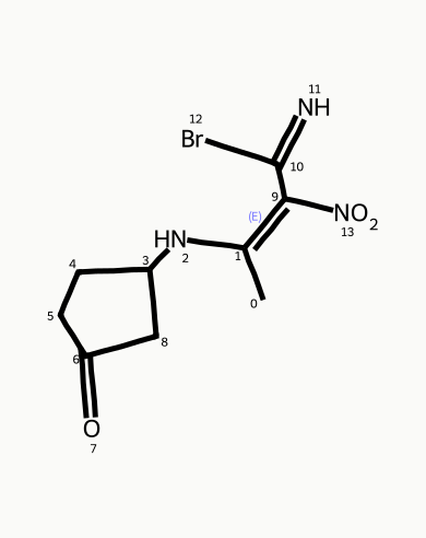 C/C(NC1CCC(=O)C1)=C(/C(=N)Br)[N+](=O)[O-]